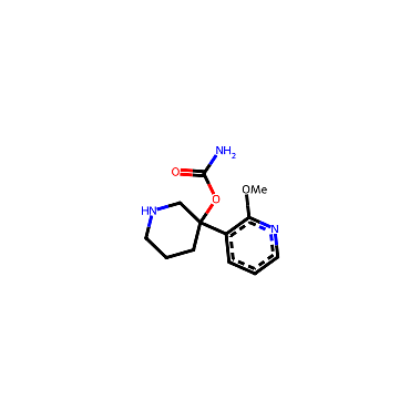 COc1ncccc1C1(OC(N)=O)CCCNC1